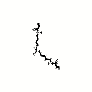 C=CC(=O)NCCCCO[PH](=O)OCCCCNC(=O)C=C